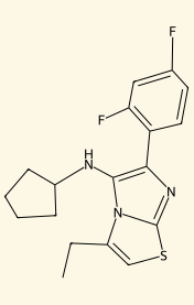 CCc1csc2nc(-c3ccc(F)cc3F)c(NC3CCCC3)n12